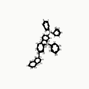 c1ccc(N(c2ccccc2)c2ccc3c4ccc(-c5ccc6ccccc6c5)cc4n(-c4ccccc4)c3c2)cc1